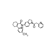 Cc1ccc(C2=C(C(=O)Nc3ccc4c(c3)CCN4C(=O)Cc3ccccn3)CCCC2)cc1